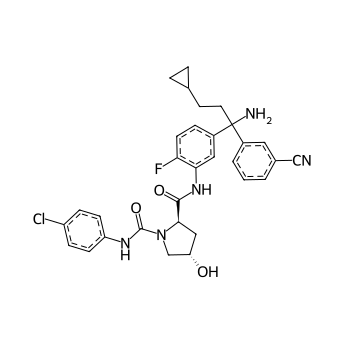 N#Cc1cccc(C(N)(CCC2CC2)c2ccc(F)c(NC(=O)[C@H]3C[C@H](O)CN3C(=O)Nc3ccc(Cl)cc3)c2)c1